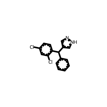 Clc1ccc(C(c2ccccc2)c2cn[nH]c2)c(Cl)c1